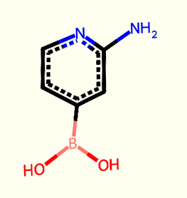 Nc1cc(B(O)O)ccn1